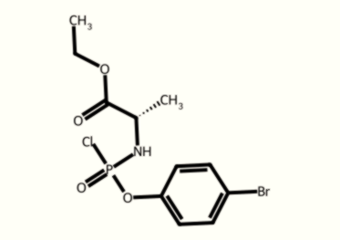 CCOC(=O)[C@H](C)NP(=O)(Cl)Oc1ccc(Br)cc1